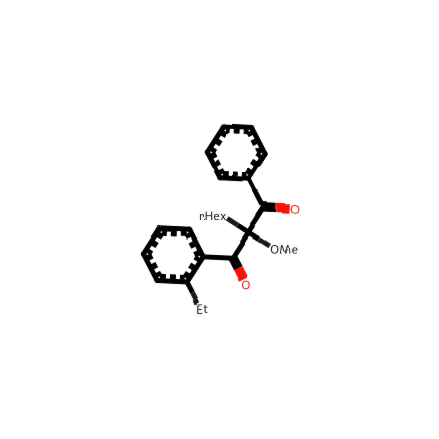 CCCCCCC(OC)(C(=O)c1ccccc1)C(=O)c1ccccc1CC